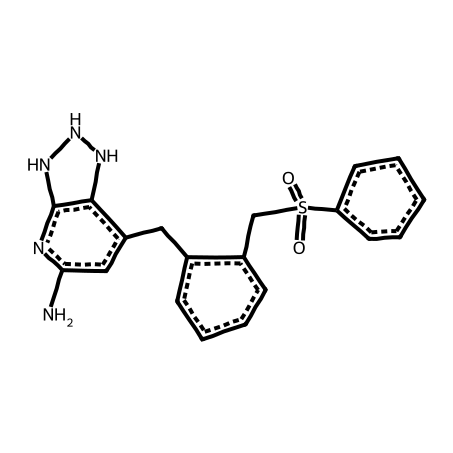 Nc1cc(Cc2ccccc2CS(=O)(=O)c2ccccc2)c2c(n1)NNN2